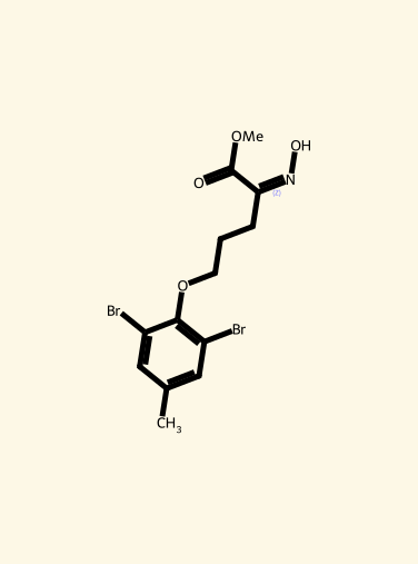 COC(=O)/C(CCCOc1c(Br)cc(C)cc1Br)=N\O